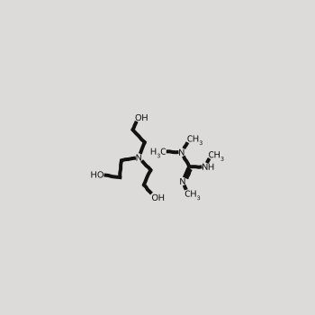 C/N=C(\NC)N(C)C.OCCN(CCO)CCO